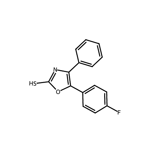 Fc1ccc(-c2oc(S)nc2-c2ccccc2)cc1